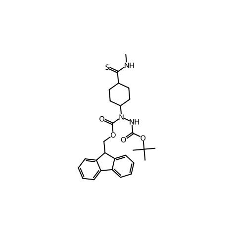 CNC(=S)C1CCC(N(NC(=O)OC(C)(C)C)C(=O)OCC2c3ccccc3-c3ccccc32)CC1